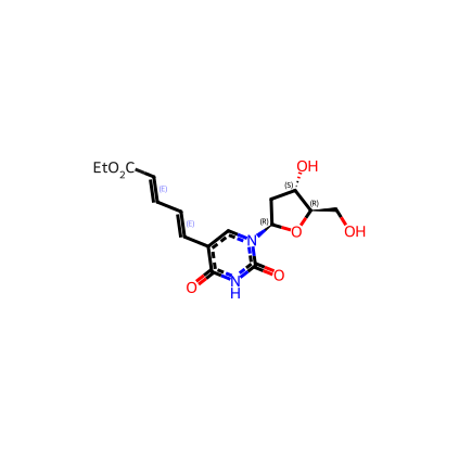 CCOC(=O)/C=C/C=C/c1cn([C@H]2C[C@H](O)[C@@H](CO)O2)c(=O)[nH]c1=O